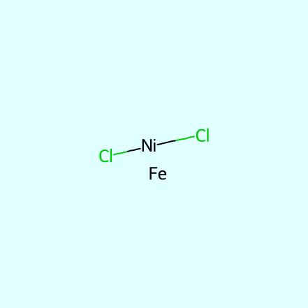 [Cl][Ni][Cl].[Fe]